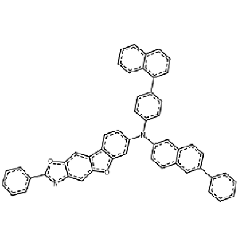 c1ccc(-c2ccc3cc(N(c4ccc(-c5cccc6ccccc56)cc4)c4ccc5c(c4)oc4cc6nc(-c7ccccc7)oc6cc45)ccc3c2)cc1